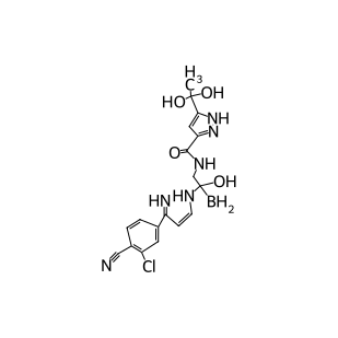 BC(O)(CNC(=O)c1cc(C(C)(O)O)[nH]n1)N/C=C\C(=N)c1ccc(C#N)c(Cl)c1